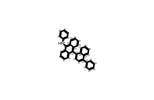 c1ccc(Nc2c3ccccc3c(-c3ccc(-c4ccccc4)c4ccccc34)c3ccccc23)cc1